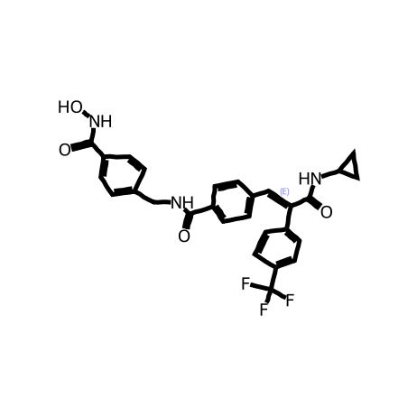 O=C(NC1CC1)/C(=C/c1ccc(C(=O)NCc2ccc(C(=O)NO)cc2)cc1)c1ccc(C(F)(F)F)cc1